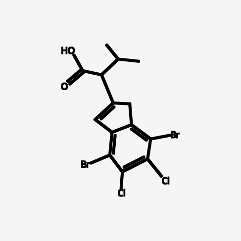 CC(C)C(C(=O)O)C1=Cc2c(Br)c(Cl)c(Cl)c(Br)c2C1